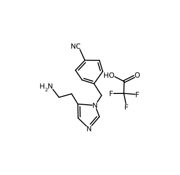 N#Cc1ccc(Cn2cncc2CCN)cc1.O=C(O)C(F)(F)F